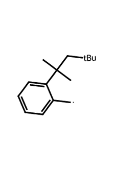 [CH2]c1ccccc1C(C)(C)CC(C)(C)C